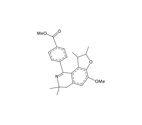 COC(=O)c1ccc(C2=NC(C)(C)Cc3cc(OC)c4c(c32)C(C)C(C)O4)cc1